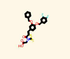 O=C(O)CN1C(=O)/C(=C/c2ccc(OCc3ccc(F)c(F)c3)c(OCc3ccccc3)c2)SC1=S